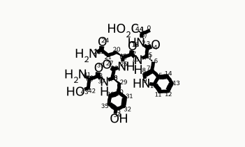 C[C@H](NC(=O)[C@H](Cc1c[nH]c2ccccc12)NC(=O)[C@H](CCC(N)=O)NC(=O)[C@@H](Cc1ccc(O)cc1)NC(=O)[C@H](N)CO)C(=O)O